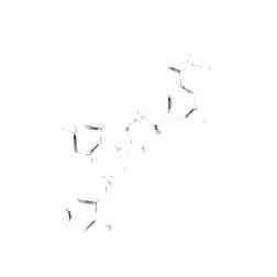 CCCN(CCC)C(=O)c1cc(C)cc(C(=O)N[C@@H](Cc2cc(F)cc(F)c2)[C@H](O)CCNCc2ccccc2CC)c1